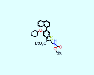 CCOC(=O)c1c(CNC(=O)OC(C)(C)C)sc2cc(-c3cccc4ccccc34)c(OC3CCCCC3)cc12